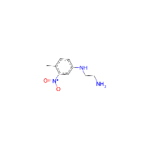 Cc1ccc(NCCN)cc1[N+](=O)[O-]